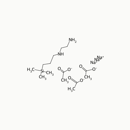 CC(=O)[O-].CC(=O)[O-].CC(=O)[O-].C[Si](C)(C)CCCNCCN.[Na+].[Na+].[Na+]